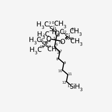 C[Si](C)(C)OC(CCCCCCC[SiH3])(O[Si](C)(C)C)O[Si](C)(C)C